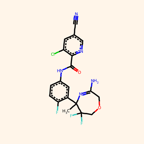 CC1(c2cc(NC(=O)c3ncc(C#N)cc3Cl)ccc2F)N=C(N)COCC1(F)F